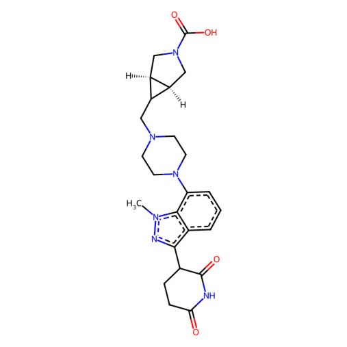 Cn1nc(C2CCC(=O)NC2=O)c2cccc(N3CCN(CC4[C@H]5CN(C(=O)O)C[C@@H]45)CC3)c21